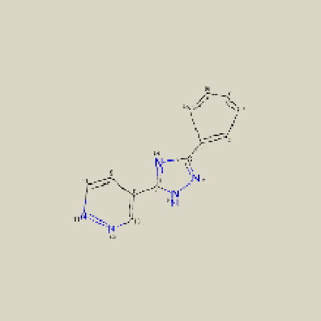 c1ccc(-c2n[nH]c(-c3ccnnc3)n2)cc1